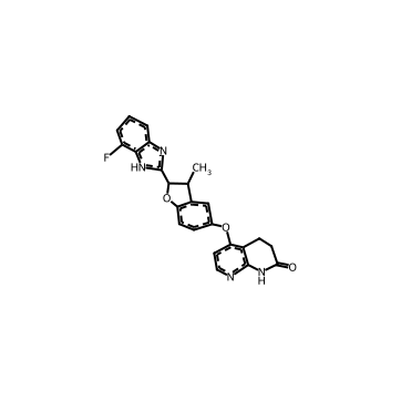 CC1c2cc(Oc3ccnc4c3CCC(=O)N4)ccc2OC1c1nc2cccc(F)c2[nH]1